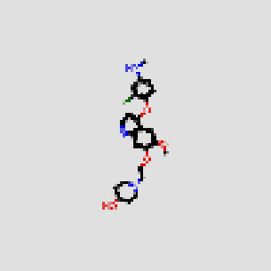 CNc1ccc(Oc2ccnc3cc(OCCN4CCC(O)CC4)c(OC)cc23)c(F)c1